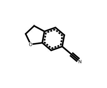 N#Cc1ccc2c(c1)OC[CH]2